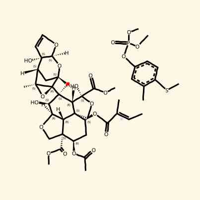 C/C=C(\C)C(=O)O[C@H]1C[C@@H](OC(C)=O)[C@@]2(C(=O)OC)CO[C@H]3[C@@H](O)[C@@](C)([C@]45O[C@@]4(C)[C@H]4C[C@@H]5O[C@@H]5OC=C[C@@]54O)[C@H]4[C@]1(CO[C@]4(O)C(=O)OC)[C@@H]32.COP(=O)(OC)Oc1ccc(SC)c(C)c1